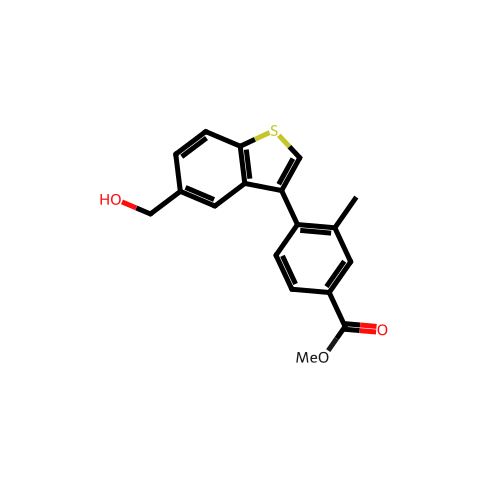 COC(=O)c1ccc(-c2csc3ccc(CO)cc23)c(C)c1